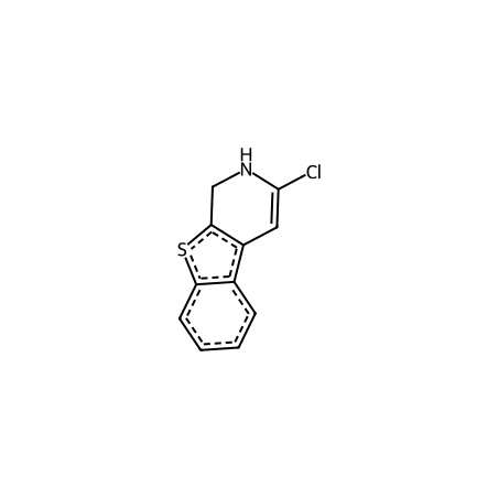 ClC1=Cc2c(sc3ccccc23)CN1